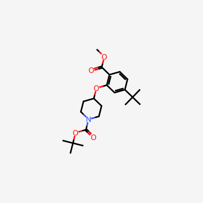 COC(=O)c1ccc(C(C)(C)C)cc1OC1CCN(C(=O)OC(C)(C)C)CC1